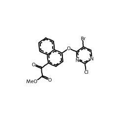 COC(=O)C(=O)c1ccc(Oc2nc(Cl)ncc2Br)c2ccccc12